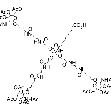 CC(=O)NC1C(OCCCCC(=O)NCCCNC(=O)CCOCC(COCCC(=O)NCCCNC(=O)CCCCOC2OC(COC(C)=O)C(OC(C)=O)C(OC(C)=O)C2NC(C)=O)(COCCC(=O)NCCCNC(=O)CCCCOC2OC(COC(C)=O)C(OC(C)=O)C(OC(C)=O)C2NC(C)=O)NC(=O)CCCCCCCCC(=O)O)OC(COC(C)=O)C(OC(C)=O)C1OC(C)=O